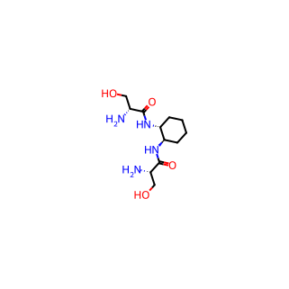 N[C@H](CO)C(=O)N[C@@H]1CCCC[C@H]1NC(=O)[C@@H](N)CO